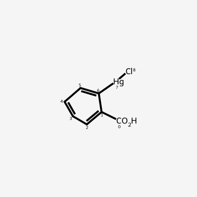 O=C(O)c1cccc[c]1[Hg][Cl]